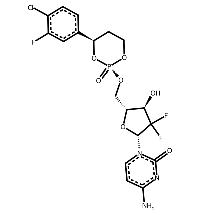 Nc1ccn([C@@H]2O[C@H](CO[P@]3(=O)OCC[C@H](c4ccc(Cl)c(F)c4)O3)[C@@H](O)C2(F)F)c(=O)n1